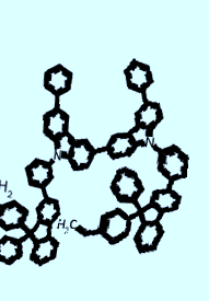 C=CC1=CCC(C2(c3ccccc3)c3ccccc3-c3ccc(-c4cccc(-n5c6ccc(-c7ccccc7)cc6c6cc(-c7ccc8c(c7)c7cc(-c9ccccc9)ccc7n8-c7cccc(-c8ccc9c(c8)C(c8ccccc8)(c8ccc(C=C)cc8)c8ccccc8-9)c7)ccc65)c4)cc32)C=C1